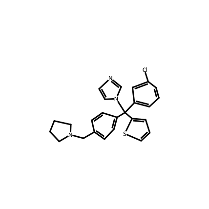 Clc1cccc(C(c2ccc(CN3CCCC3)cc2)(c2cccs2)n2ccnc2)c1